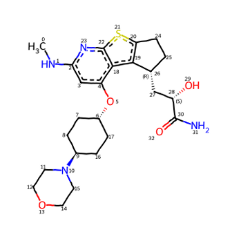 CNc1cc(O[C@H]2CC[C@H](N3CCOCC3)CC2)c2c3c(sc2n1)CC[C@@H]3C[C@H](O)C(N)=O